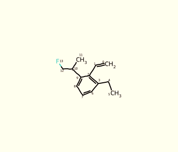 C=Cc1c(CC)cccc1[C](C)CF